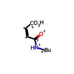 CCC(C)NC(=O)/C=C\C(=O)O